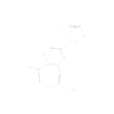 Cc1ccc(-c2ccc3c(c2)C=C(C(=O)O)CCN3C)cc1